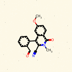 COc1ccc2c(=O)n(C)c(C#N)c(-c3ccccc3C=O)c2c1